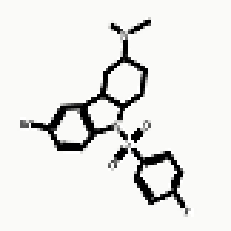 CN(C)C1CCC2C(C1)c1cc(Br)ccc1N2S(=O)(=O)c1ccc(Br)cc1